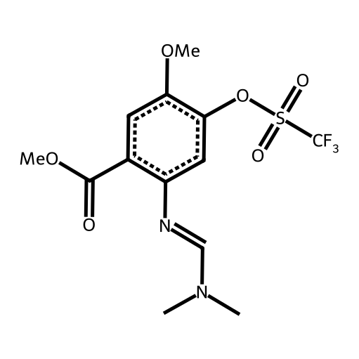 COC(=O)c1cc(OC)c(OS(=O)(=O)C(F)(F)F)cc1/N=C/N(C)C